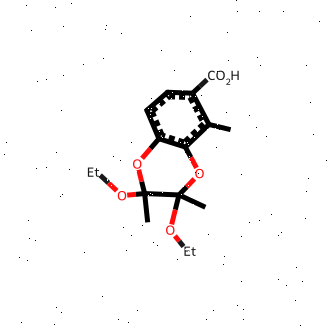 CCOC1(C)Oc2ccc(C(=O)O)c(C)c2OC1(C)OCC